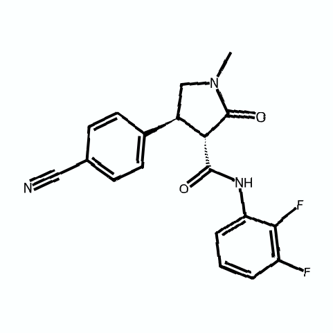 CN1C[C@H](c2ccc(C#N)cc2)[C@@H](C(=O)Nc2cccc(F)c2F)C1=O